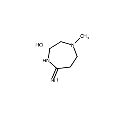 CN1CCNC(=N)CC1.Cl